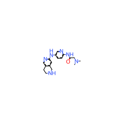 CN(C)CC(=O)Nc1ccc(Nc2cc3c(cn2)CCNC3)cn1